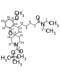 CCN(CC)C(=O)CCCCC1CC2(CCN(C(=O)OC(C)(C)C)CC2)Oc2cccc(OC)c21